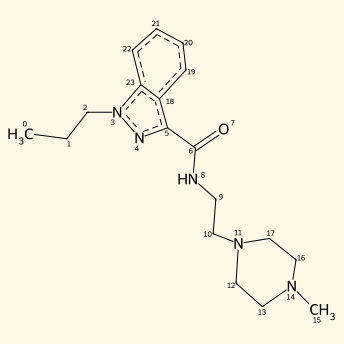 CCCn1nc(C(=O)NCCN2CCN(C)CC2)c2ccccc21